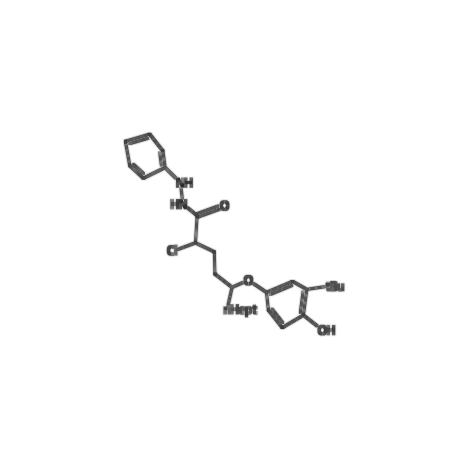 CCCCCCCC(CCC(Cl)C(=O)NNc1ccccc1)Oc1ccc(O)c(C(C)(C)C)c1